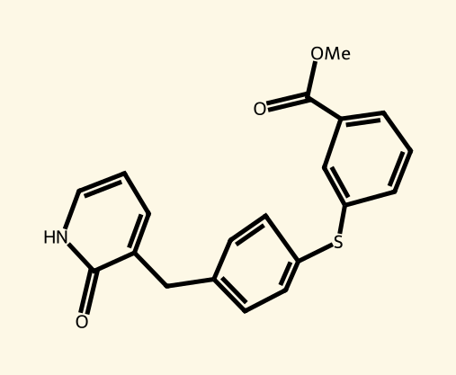 COC(=O)c1cccc(Sc2ccc(Cc3ccc[nH]c3=O)cc2)c1